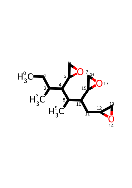 CCC(C)C(C1CO1)C(C)C(CC1CO1)C1CO1